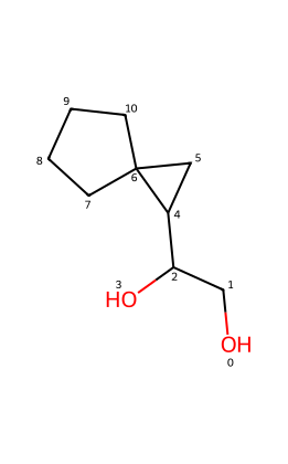 OCC(O)C1CC12CCCC2